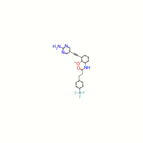 COc1c(C#Cc2cnc(N)nc2)cccc1NC(=O)CCc1ccc(C(F)(F)F)cc1